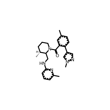 Cc1ccc(-c2cnn(C)c2)c(C(=O)N2CCC[C@@H](C)C2CNc2cccc(C)n2)c1